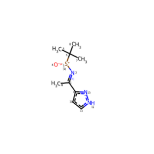 C/C(=N\[S@+]([O-])C(C)(C)C)c1cc[nH]n1